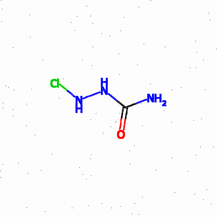 NC(=O)NNCl